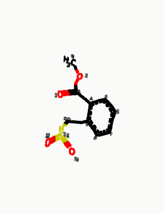 COC(=O)c1ccccc1C[SH](=O)=O